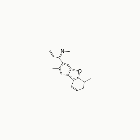 C=C/C(=N/C)c1cc2oc3c(c2cc1C)C=CCC3C